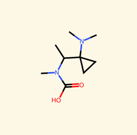 CC(N(C)C(=O)O)C1(N(C)C)CC1